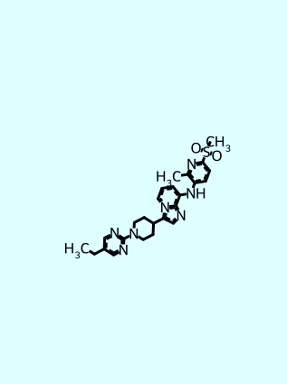 CCc1cnc(N2CCC(c3cnc4c(Nc5ccc(S(C)(=O)=O)nc5C)cccn34)CC2)nc1